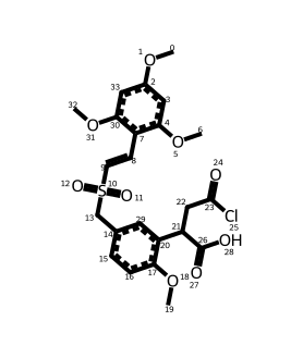 COc1cc(OC)c(C=CS(=O)(=O)Cc2ccc(OC)c(C(CC(=O)Cl)C(=O)O)c2)c(OC)c1